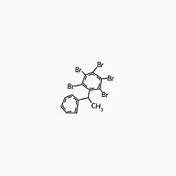 CC(c1ccccc1)c1c(Br)c(Br)c(Br)c(Br)c1Br